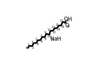 CCCCCCCCCCCCCCCCCCC(=O)O.[NaH]